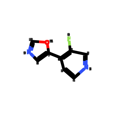 Fc1[c]nccc1-c1cnco1